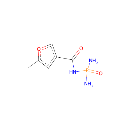 Cc1cc(C(=O)NP(N)(N)=O)co1